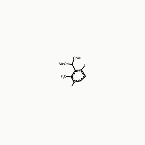 COC(OC)c1c(F)ccc(F)c1C(F)(F)F